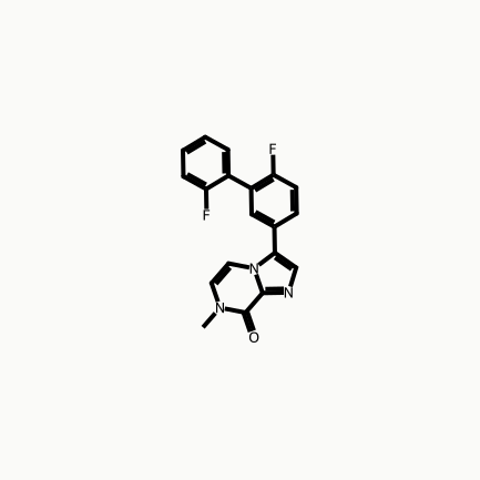 Cn1ccn2c(-c3ccc(F)c(-c4ccccc4F)c3)cnc2c1=O